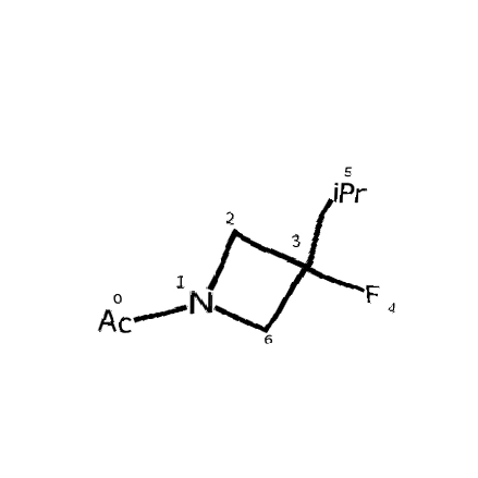 CC(=O)N1CC(F)(C(C)C)C1